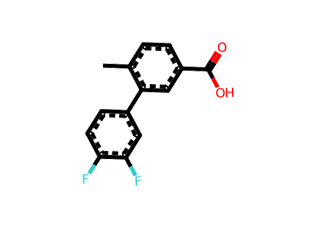 Cc1ccc(C(=O)O)cc1-c1ccc(F)c(F)c1